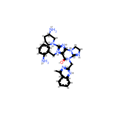 Cc1nc(CN2C(=O)c3c(nc(N4CCC[C@@H](N)C4)n3Cc3ccccc3N)N3CCN=C23)nc2ccccc12